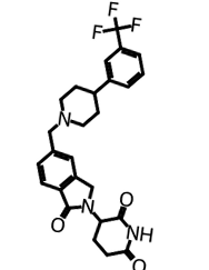 O=C1CCC(N2Cc3cc(CN4CCC(c5cccc(C(F)(F)F)c5)CC4)ccc3C2=O)C(=O)N1